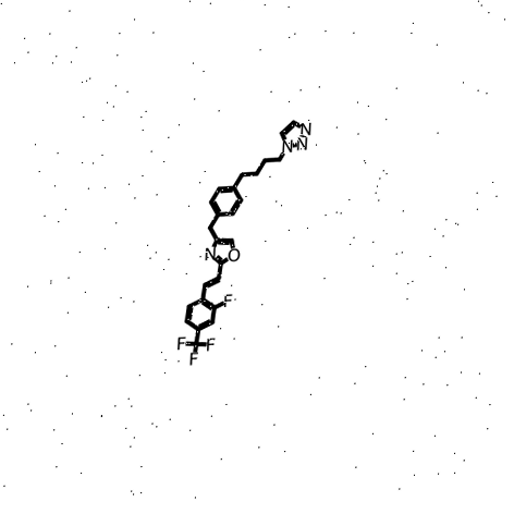 Fc1cc(C(F)(F)F)ccc1C=Cc1nc(Cc2ccc(CCCCn3ccnn3)cc2)co1